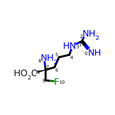 N=C(N)NCCC[C@@](N)(CF)C(=O)O